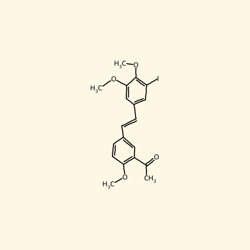 COc1ccc(C=Cc2cc(I)c(OC)c(OC)c2)cc1C(C)=O